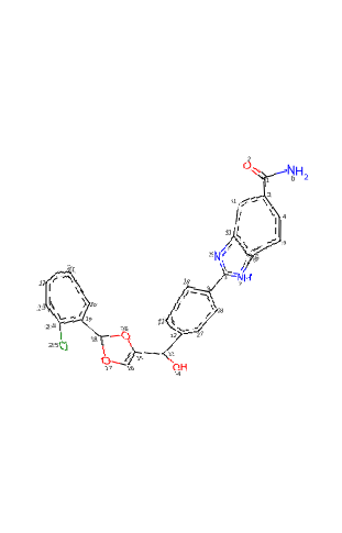 NC(=O)c1ccc2[nH]c(-c3ccc(C(O)C4=COC(c5ccccc5Cl)O4)cc3)nc2c1